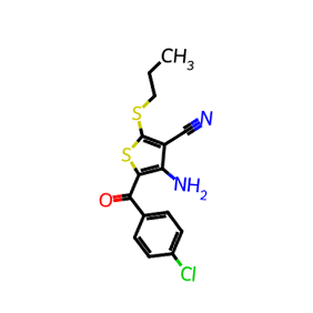 CCCSc1sc(C(=O)c2ccc(Cl)cc2)c(N)c1C#N